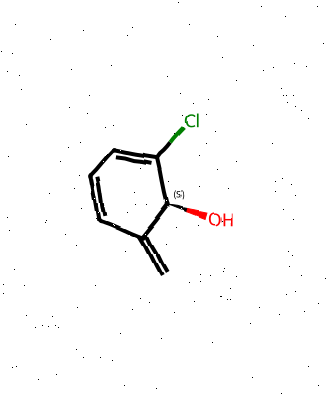 C=C1C=CC=C(Cl)[C@H]1O